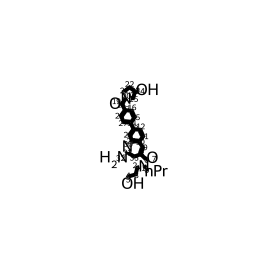 CCCN(CCCO)C(=O)C1=Cc2ccc(-c3ccc(C(=O)N4CC[C@@H](O)C4)cc3)cc2N=C(N)C1